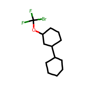 FC(F)(Br)OC1CCCC(C2CCCCC2)C1